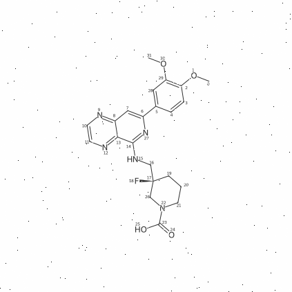 COc1ccc(-c2cc3nccnc3c(NC[C@]3(F)CCCN(C(=O)O)C3)n2)cc1OC